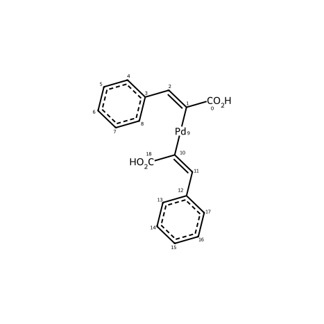 O=C(O)[C](=Cc1ccccc1)[Pd][C](=Cc1ccccc1)C(=O)O